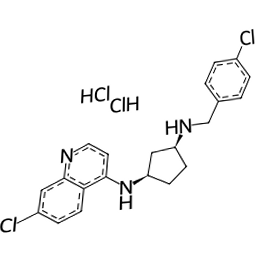 Cl.Cl.Clc1ccc(CN[C@H]2CC[C@@H](Nc3ccnc4cc(Cl)ccc34)C2)cc1